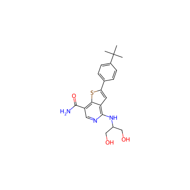 CC(C)(C)c1ccc(-c2cc3c(NC(CO)CO)ncc(C(N)=O)c3s2)cc1